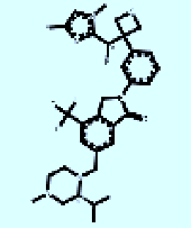 CC(C)[C@H]1CN(C)CCN1Cc1cc2c(c(C(F)(F)F)c1)CN(c1cccc(C3([C@@H](F)c4nc(F)cn4C)COC3)c1)C2=O